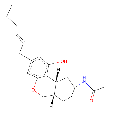 CCCC=CCc1cc(O)c2c(c1)OC[C@H]1CCC(NC(C)=O)C[C@@H]21